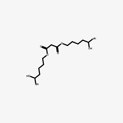 CCCC(O)CCCCOC(=O)CC(=O)OCCCCC(O)CCC